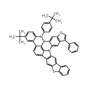 CC(C)(C)c1ccc(N2B3c4cc5occ(-c6ccccc6)c5cc4-n4c5cc6c(cc5c5ccc(c3c54)-c3cc(C(C)(C)C)ccc32)sc2ccccc26)cc1